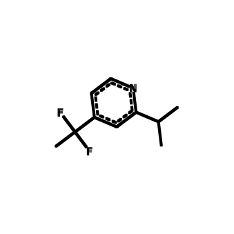 CC(C)c1cc(C(C)(F)F)ccn1